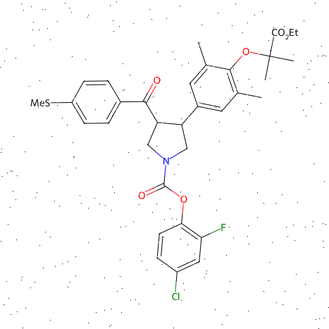 CCOC(=O)C(C)(C)Oc1c(C)cc(C2CN(C(=O)Oc3ccc(Cl)cc3F)CC2C(=O)c2ccc(SC)cc2)cc1C